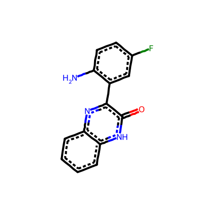 Nc1ccc(F)cc1-c1nc2ccccc2[nH]c1=O